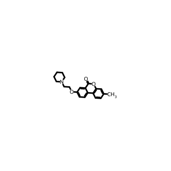 Cc1ccc2c(c1)oc(=O)c1cc(OCCN3CCCCC3)ccc12